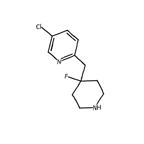 FC1(Cc2ccc(Cl)cn2)CCNCC1